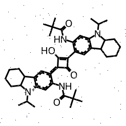 CC(C)N1c2cc(NC(=O)C(C)(C)C)c(C3=C(O)/C(=c4\cc5c(cc4NC(=O)C(C)(C)C)=[N+](C(C)C)C4CCCCC54)C3=O)cc2C2CCCCC21